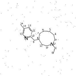 CCN1CCCCCC(Cc2ccc(C)cn2)CC1